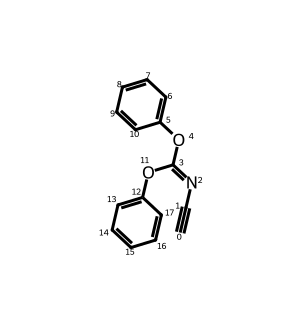 C#CN=C(Oc1ccccc1)Oc1ccccc1